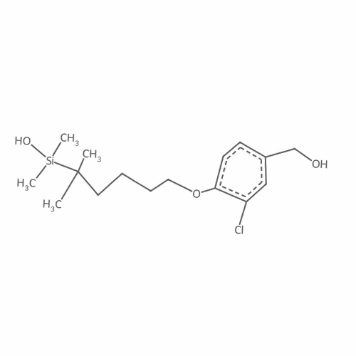 CC(C)(CCCCOc1ccc(CO)cc1Cl)[Si](C)(C)O